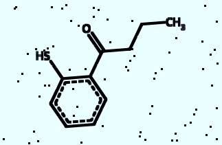 CCCC(=O)c1ccccc1S